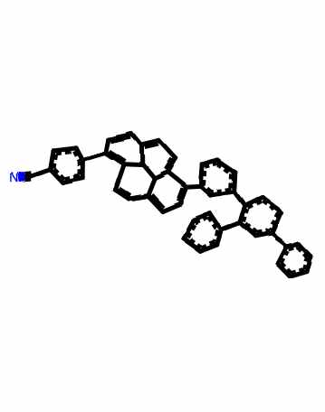 N#Cc1ccc(C2=C3C=CC4=CC=C(c5cccc(-c6ccc(-c7ccccc7)cc6-c6ccccc6)c5)C5=CC=C(C=C2)C3C45)cc1